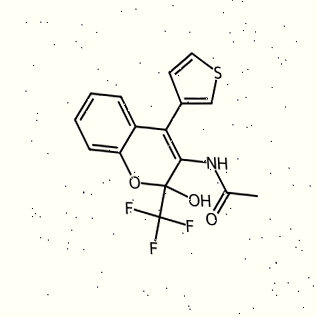 CC(=O)NC1=C(c2ccsc2)c2ccccc2OC1(O)C(F)(F)F